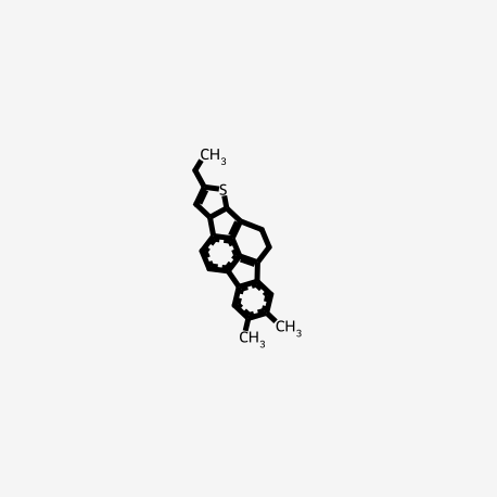 CCC1=CC2c3ccc4c5c3=C(CCC=5c3cc(C)c(C)cc3-4)C2S1